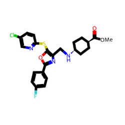 COC(=O)[C@H]1CC[C@H](NCc2nc(-c3ccc(F)cc3)oc2Sc2ccc(Cl)cn2)CC1